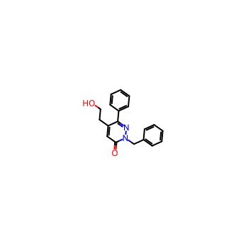 O=c1cc(CCO)c(-c2ccccc2)nn1Cc1ccccc1